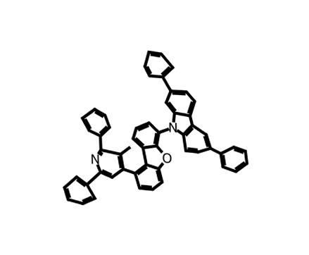 Cc1c(-c2cccc3oc4c(-n5c6ccc(-c7ccccc7)cc6c6ccc(-c7ccccc7)cc65)cccc4c23)cc(-c2ccccc2)nc1-c1ccccc1